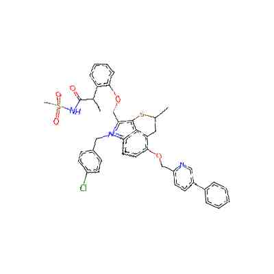 CC1Cc2c(OCc3ccc(-c4ccccc4)cn3)ccc3c2c(c(COc2ccccc2C(C)C(=O)NS(C)(=O)=O)n3Cc2ccc(Cl)cc2)S1